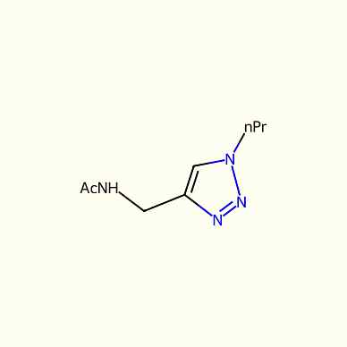 CCCn1cc(CNC(C)=O)nn1